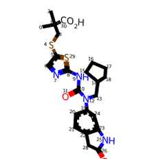 CC(C)(CSc1cnc(NC(=O)N(CC2CCCC2)c2ccc3c(c2)NC(=O)C3)s1)C(=O)O